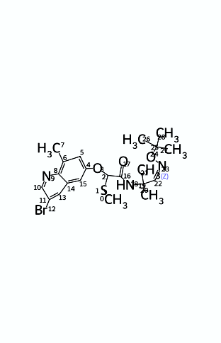 CSC(Oc1cc(C)c2ncc(Br)cc2c1)C(=O)NC(C)(C)/C=N\OC(C)(C)C